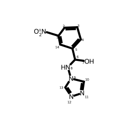 O=[N+]([O-])c1cccc(C(O)Nn2cnnc2)c1